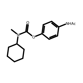 CC(=O)Nc1ccc(OC(=O)N(C)C2CCCCC2)cc1